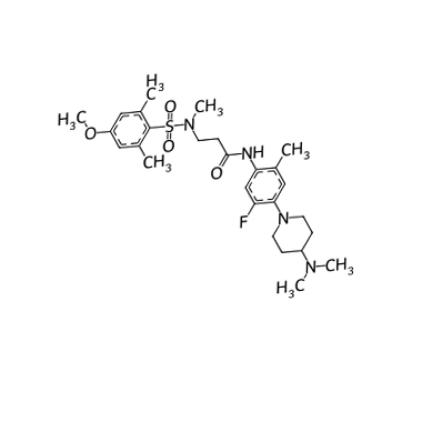 COc1cc(C)c(S(=O)(=O)N(C)CCC(=O)Nc2cc(F)c(N3CCC(N(C)C)CC3)cc2C)c(C)c1